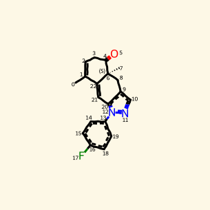 CC1=CCC(=O)[C@@]2(C)Cc3cnn(-c4ccc(F)cc4)c3C=C12